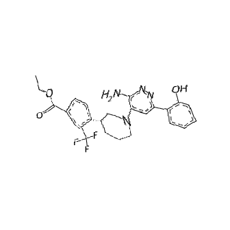 CCOC(=O)c1ccc([C@H]2CCCN(c3cc(-c4ccccc4O)nnc3N)C2)c(C(F)(F)F)c1